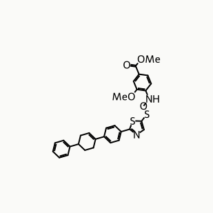 COC(=O)c1ccc(NOSc2cnc(-c3ccc(C4=CCC(c5ccccc5)CC4)cc3)s2)c(OC)c1